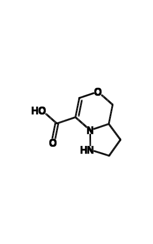 O=C(O)C1=COCC2CCNN12